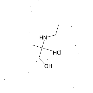 CCNC(C)(C)CO.Cl